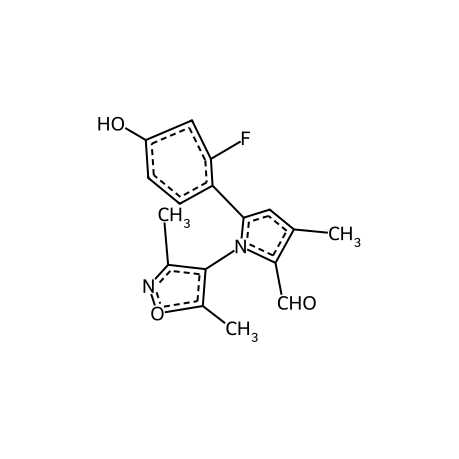 Cc1cc(-c2ccc(O)cc2F)n(-c2c(C)noc2C)c1C=O